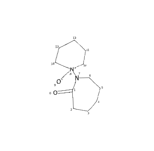 O=C1CCCCCN1[N+]1([O-])CCCCC1